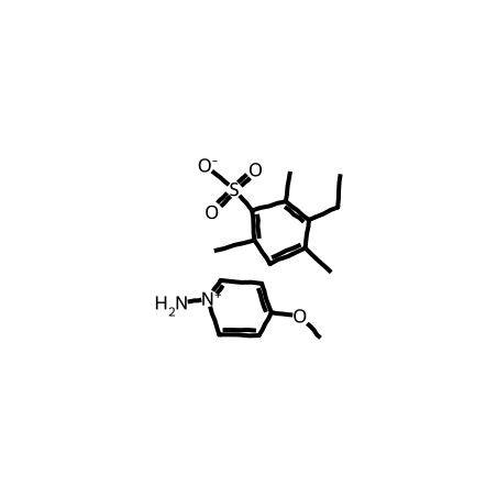 CCc1c(C)cc(C)c(S(=O)(=O)[O-])c1C.COc1cc[n+](N)cc1